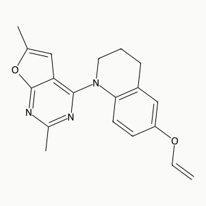 C=COc1ccc2c(c1)CCCN2c1nc(C)nc2oc(C)cc12